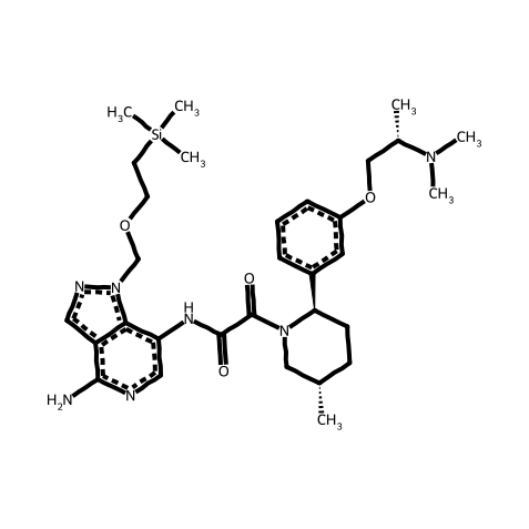 C[C@H]1CC[C@H](c2cccc(OC[C@H](C)N(C)C)c2)N(C(=O)C(=O)Nc2cnc(N)c3cnn(COCC[Si](C)(C)C)c23)C1